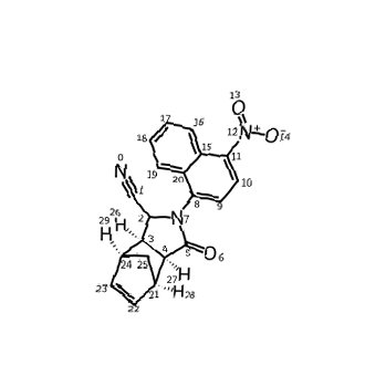 N#CC1[C@H]2[C@@H](C(=O)N1c1ccc([N+](=O)[O-])c3ccccc13)[C@H]1C=C[C@@H]2C1